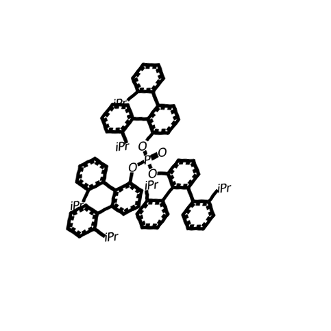 CC(C)c1ccccc1-c1cccc(OP(=O)(Oc2cccc(-c3ccccc3C(C)C)c2-c2ccccc2C(C)C)Oc2cccc(-c3ccccc3C(C)C)c2-c2ccccc2C(C)C)c1-c1ccccc1C(C)C